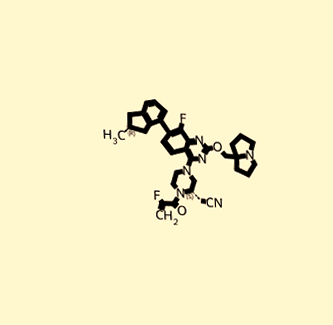 C=C(F)C(=O)N1CCN(c2nc(OCC34CCCN3CCC4)nc3c(F)c(-c4cccc5c4C[C@H](C)C5)ccc23)C[C@@H]1CC#N